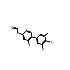 Cc1c(F)cc(-c2ccc(OC=O)cc2F)cc1F